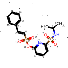 CC(C)NS(=O)(=O)c1cccc(OS(=O)(=O)/C=C/c2ccccc2)n1